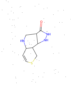 O=C1NNC2C1CNC1C=CSCC12